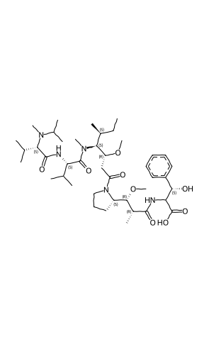 CC[C@H](C)[C@@H]([C@@H](CC(=O)N1CCC[C@H]1[C@H](OC)[C@@H](C)C(=O)NC(C(=O)O)[C@@H](O)c1ccccc1)OC)N(C)C(=O)[C@@H](NC(=O)[C@H](C(C)C)N(C)C(C)C)C(C)C